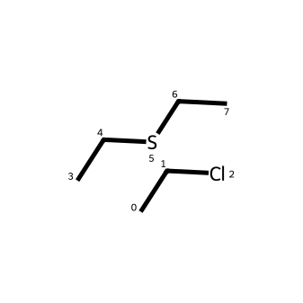 CCCl.CCSCC